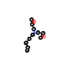 c1cc(-c2ccc(-c3ccc(N(c4ccc(-c5ccc6c(c5)oc5ccccc56)cc4)c4ccc(-c5cccc6oc7ccccc7c56)cc4)cc3)cc2)cc(-c2ccc3ccccc3c2)c1